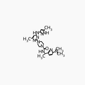 Cc1cc(Nc2cc(C)[nH]n2)nc(N2CCN(C(=O)N[C@@H](C)c3ccc(N(C)C)nc3)CC2)n1